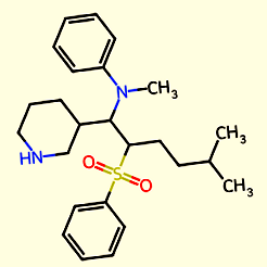 CC(C)CCC(C(C1CCCNC1)N(C)c1ccccc1)S(=O)(=O)c1ccccc1